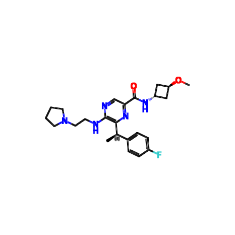 CO[C@H]1C[C@H](NC(=O)c2cnc(NCCN3CCCC3)c([C@H](C)c3ccc(F)cc3)n2)C1